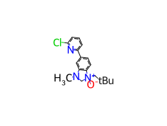 CN1C[N+]([O-])(CC(C)(C)C)c2ccc(-c3cccc(Cl)n3)cc21